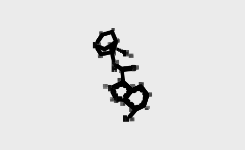 O=C(N[C@H]1CN2CCC1CC2)c1nsc2c(Br)cccc12